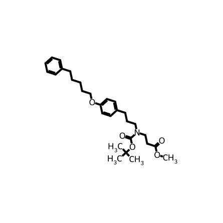 COC(=O)CCN(CCCc1ccc(OCCCCCc2ccccc2)cc1)C(=O)OC(C)(C)C